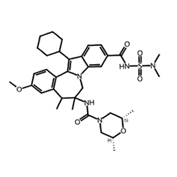 COc1ccc2c(c1)C(C)C(C)(NC(=O)N1C[C@@H](C)O[C@@H](C)C1)Cn1c-2c(C2CCCCC2)c2ccc(C(=O)NS(=O)(=O)N(C)C)cc21